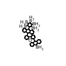 Bc1c(B)c(B)c(-c2c3ccccc3c(-c3cccc4oc5c(-c6c7ccccc7c(B)c7ccccc67)cccc5c34)c3ccccc23)c(B)c1B